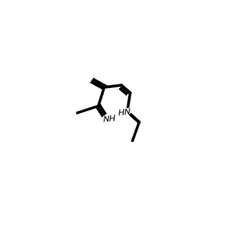 C=C(/C=C\NCC)C(C)=N